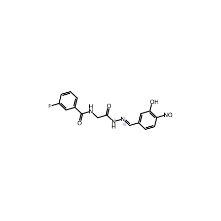 O=Nc1ccc(/C=N/NC(=O)CNC(=O)c2cccc(F)c2)cc1O